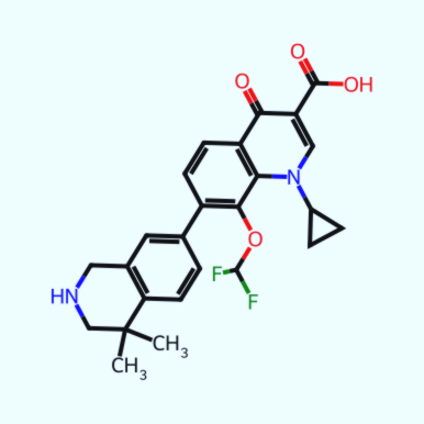 CC1(C)CNCc2cc(-c3ccc4c(=O)c(C(=O)O)cn(C5CC5)c4c3OC(F)F)ccc21